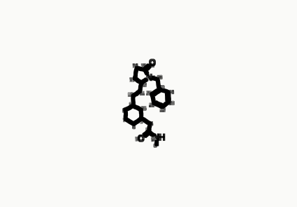 CNC(=O)CC1CCCC(CCC2CCC(=O)N2Cc2ccccc2)C1